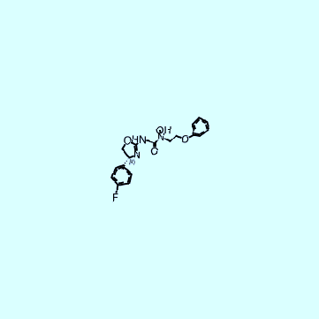 O=C(NC1=N[C@H](c2ccc(F)cc2)CO1)N(O)CCOc1ccccc1